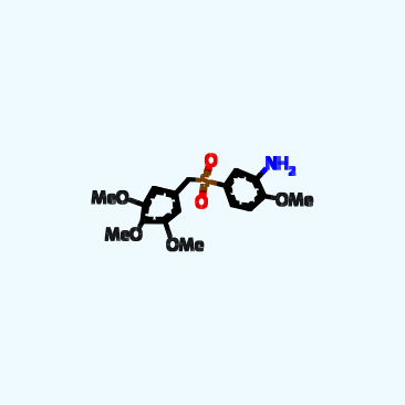 COc1ccc(S(=O)(=O)Cc2cc(OC)c(OC)c(OC)c2)cc1N